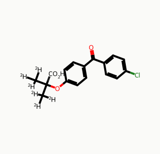 [2H]C([2H])([2H])C(Oc1ccc(C(=O)c2ccc(Cl)cc2)cc1)(C(=O)O)C([2H])([2H])[2H]